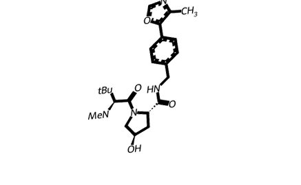 CN[C@H](C(=O)N1C[C@H](O)C[C@H]1C(=O)NCc1ccc(-c2ocnc2C)cc1)C(C)(C)C